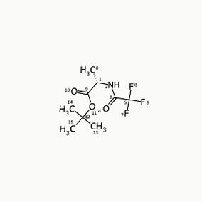 C[C@H](NC(=O)C(F)(F)F)C(=O)OC(C)(C)C